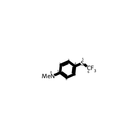 CNc1ccc(SC(F)(F)F)cc1